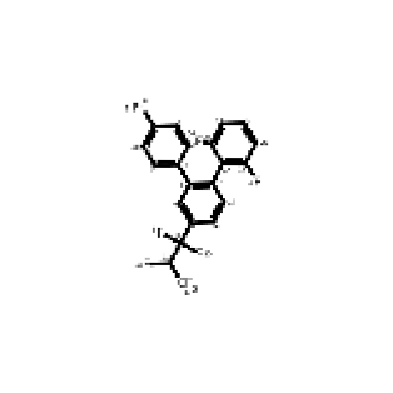 CCCc1ccc(-c2cc(C(F)(F)C(F)C(F)(F)F)ccc2-c2c(F)cccc2F)cc1